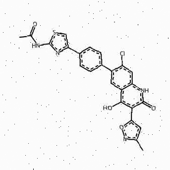 CC(=O)Nc1nc(-c2ccc(-c3cc4c(O)c(-c5cc(C)no5)c(=O)[nH]c4cc3Cl)cc2)cs1